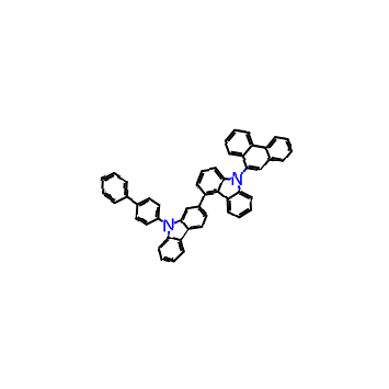 c1ccc(-c2ccc(-n3c4ccccc4c4ccc(-c5cccc6c5c5ccccc5n6-c5cc6ccccc6c6ccccc56)cc43)cc2)cc1